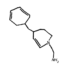 NCN1C=CC(C2C=CC=CC2)CC1